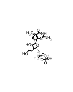 C[n+]1cn([C@@H]2O[C@H](COP(=O)(O)OP(=O)(O)O)[C@@H](CCO)[C@H]2O)c2nc(N)[nH]c(=O)c21